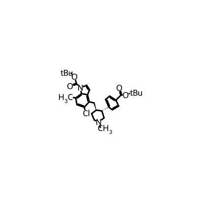 Cc1cc(Cl)c(C[C@@H]2CCN(C)C[C@H]2c2ccc(C(=O)OC(C)(C)C)cc2)c2ccn(C(=O)OC(C)(C)C)c12